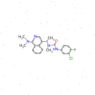 CC(c1cnc(N(C)C)c2ccccc12)N(C)C(=O)Nc1ccc(F)c(Cl)c1